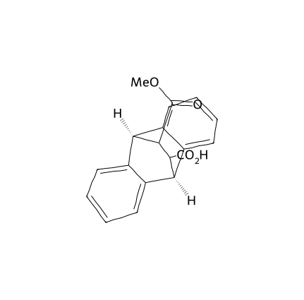 COC(=O)C1C(C(=O)O)[C@H]2c3ccccc3[C@@H]1c1ccccc12